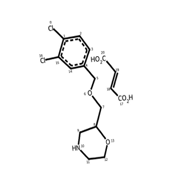 Clc1ccc(COCC2CNCCO2)cc1Cl.O=C(O)C=CC(=O)O